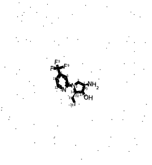 N[C@@H]1CN(c2cc(C(F)(F)F)ccn2)[C@H](CI)C1O